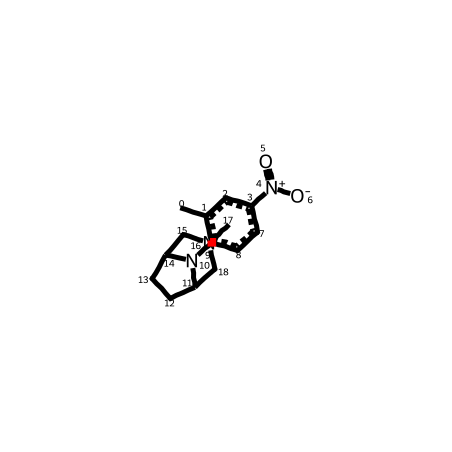 Cc1cc([N+](=O)[O-])ccc1N1C2CCC1CN(C)C2